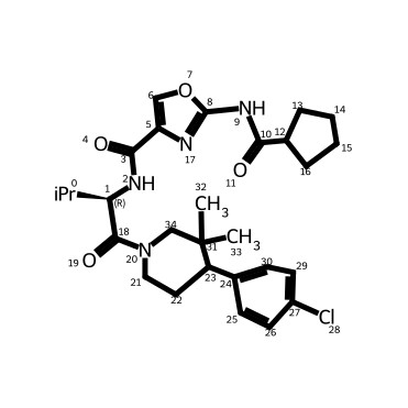 CC(C)[C@@H](NC(=O)c1coc(NC(=O)C2CCCC2)n1)C(=O)N1CCC(c2ccc(Cl)cc2)C(C)(C)C1